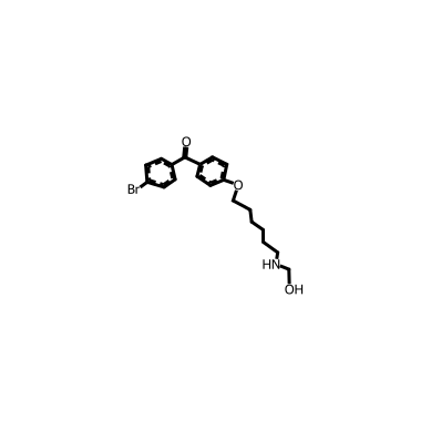 O=C(c1ccc(Br)cc1)c1ccc(OCCCCCCNCO)cc1